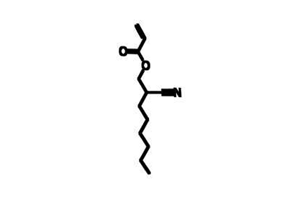 C=CC(=O)OCC(C#N)CCCCCC